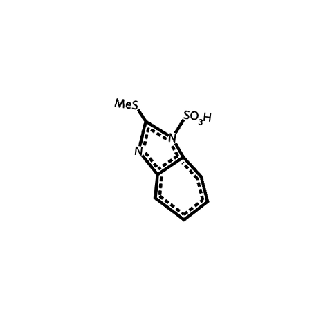 CSc1nc2ccccc2n1S(=O)(=O)O